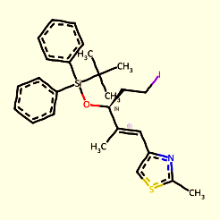 C/C(=C\c1csc(C)n1)[C@H](CCI)O[Si](c1ccccc1)(c1ccccc1)C(C)(C)C